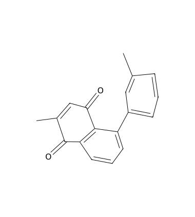 CC1=CC(=O)c2c(cccc2-c2cccc(C)c2)C1=O